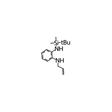 C=CCNc1ccccc1N[Si](C)(C)C(C)(C)C